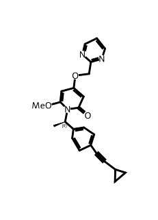 COc1cc(OCc2ncccn2)cc(=O)n1[C@H](C)c1ccc(C#CC2CC2)cc1